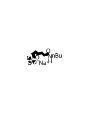 CCCCNC(=O)CCc1ccc(S(=O)(=O)[O-])o1.[Na+]